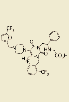 Cc1c(N2CCN(Cc3ccc(C(F)(F)F)o3)CC2)c(=O)n(C[C@H](NCC(=O)O)c2ccccc2)c(=O)n1Cc1c(F)cccc1C(F)(F)F